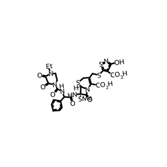 CCN1CCN(C(=O)NC(C(=O)N[C@]2(SC)C(=O)N3C(C(=O)O)=C(CSc4snc(O)c4C(=O)O)CS[C@@H]32)c2ccccc2)C(=O)C1=O